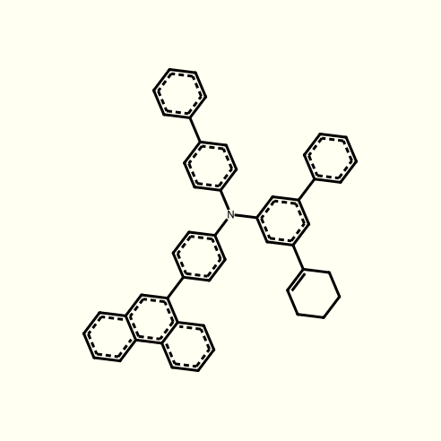 C1=C(c2cc(-c3ccccc3)cc(N(c3ccc(-c4ccccc4)cc3)c3ccc(-c4cc5ccccc5c5ccccc45)cc3)c2)CCCC1